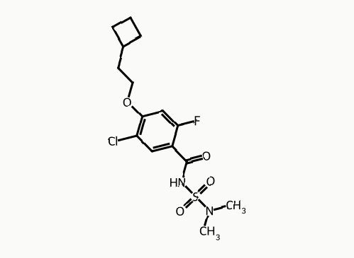 CN(C)S(=O)(=O)NC(=O)c1cc(Cl)c(OCCC2CCC2)cc1F